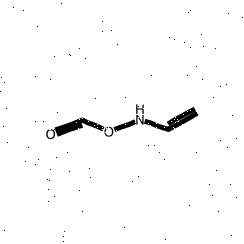 C=CNOC=O